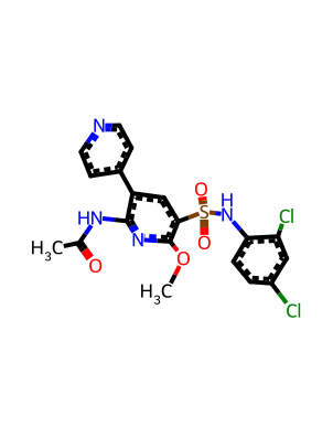 COc1nc(NC(C)=O)c(-c2ccncc2)cc1S(=O)(=O)Nc1ccc(Cl)cc1Cl